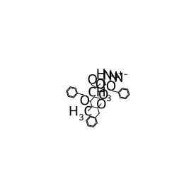 CC1[C@H](OC2C3CO[C@H](O3)C(N=[N+]=[N-])[C@@H]2OCc2ccccc2)OC(Cc2ccccc2)[C@@H](C)[C@H]1OCc1ccccc1